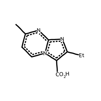 CCc1nc2nc(C)ccn2c1C(=O)O